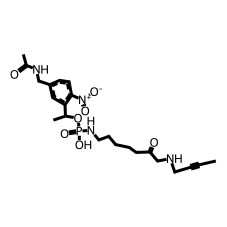 CC#CCNCC(=O)CCCCCNP(=O)(O)OC(C)c1cc(CNC(C)=O)ccc1[N+](=O)[O-]